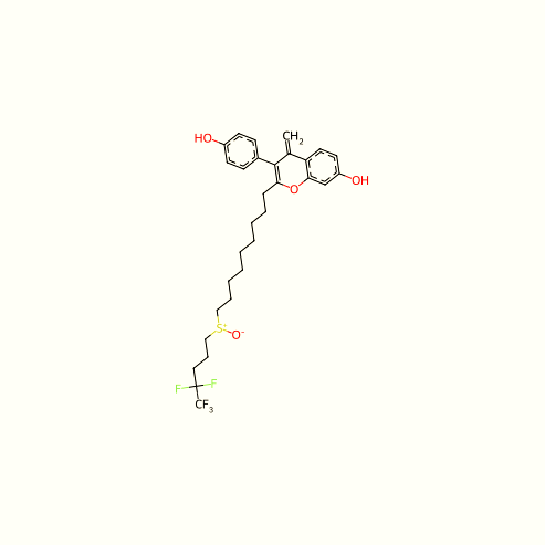 C=C1C(c2ccc(O)cc2)=C(CCCCCCCCC[S+]([O-])CCCC(F)(F)C(F)(F)F)Oc2cc(O)ccc21